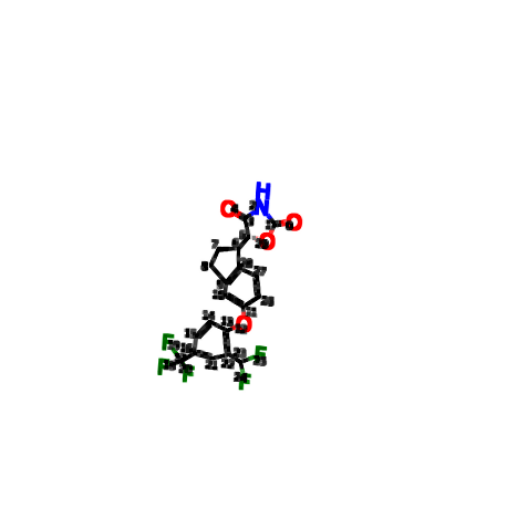 O=C1NC(=O)[C@@H]([C@@H]2CCc3cc(Oc4ccc(C(F)(F)F)cc4C(F)F)ccc32)O1